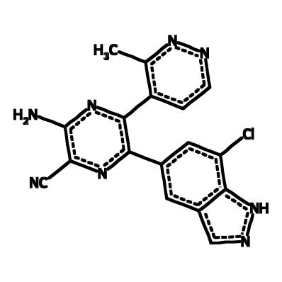 Cc1nnccc1-c1nc(N)c(C#N)nc1-c1cc(Cl)c2[nH]ncc2c1